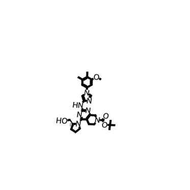 COc1cc(-n2cnc(Nc3nc4c(c(N5CCC[C@H]5CO)n3)CCN(C(=O)OC(C)(C)C)C4)c2)cc(C)c1C